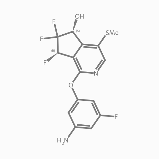 CSc1cnc(Oc2cc(N)cc(F)c2)c2c1[C@H](O)C(F)(F)[C@@H]2F